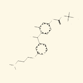 CN(C)CCCNc1cc(C(O)c2ccc(NC(=O)OC(C)(C)C)cc2F)ccn1